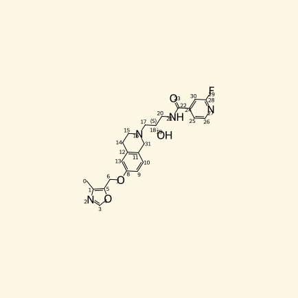 Cc1ncoc1COc1ccc2c(c1)CCN(C[C@@H](O)CNC(=O)c1ccnc(F)c1)C2